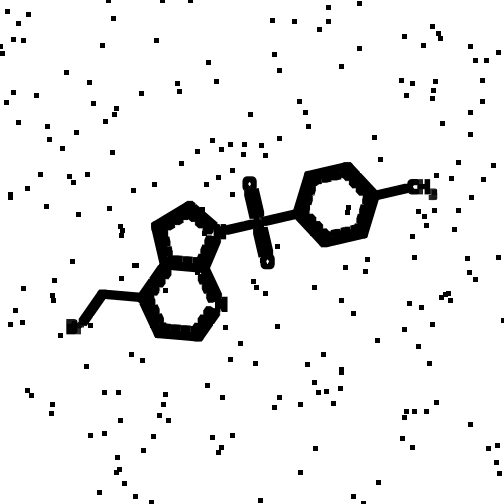 Cc1ccc(S(=O)(=O)n2ccc3c(CBr)ccnc32)cc1